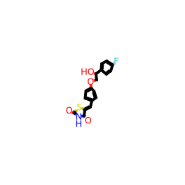 O=C1NC(=O)C(=Cc2ccc(OCC(O)c3ccc(F)cc3)cc2)S1